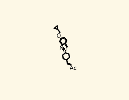 CC(=O)/C=C/C1CCC(n2cc3ccc(OCC4CC4)cc3n2)CC1